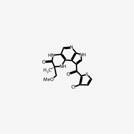 COC[C@]1(C)Nc2c(cnc3[nH]cc(C(=O)c4sccc4Cl)c23)NC1=O